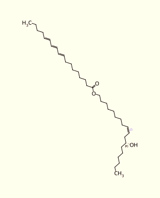 CCCCC=CC=CC=CCCCCCCCC(=O)OCCCCCCCC/C=C\C[C@H](O)CCCCCC